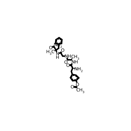 CC(=O)Oc1ccc(C[C@H](N)C(=O)N[C@H](C)C(=O)NCC(=O)N[C@@](C)(Cc2ccccc2)C(N)=O)cc1